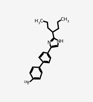 CCCC(CCC)c1nc(-c2ccc(-c3ccc([18F])cc3)cc2)c[nH]1